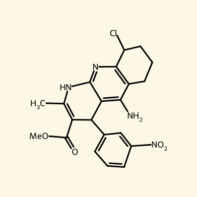 COC(=O)C1=C(C)Nc2nc3c(c(N)c2C1c1cccc([N+](=O)[O-])c1)CCCC3Cl